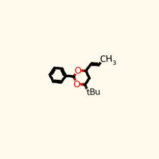 CC=CC1CC(C(C)(C)C)OC(c2ccccc2)O1